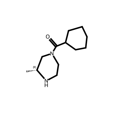 C[C@@H]1CN(C(=O)C2CCCCC2)CCN1